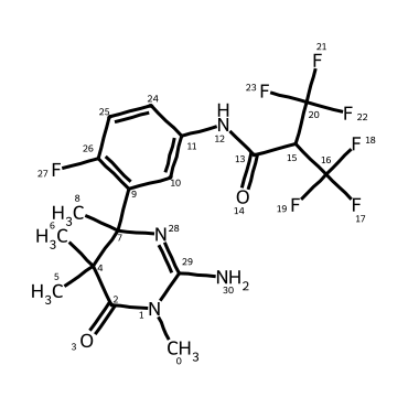 CN1C(=O)C(C)(C)C(C)(c2cc(NC(=O)C(C(F)(F)F)C(F)(F)F)ccc2F)N=C1N